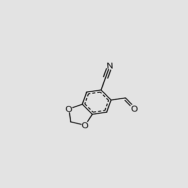 N#Cc1cc2c(cc1C=O)OCO2